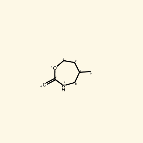 CC1CCOC(=O)NC1